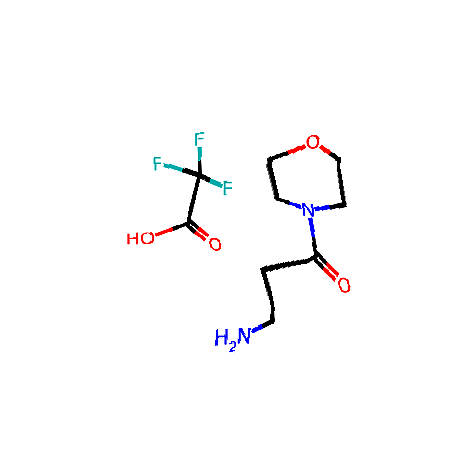 NCCC(=O)N1CCOCC1.O=C(O)C(F)(F)F